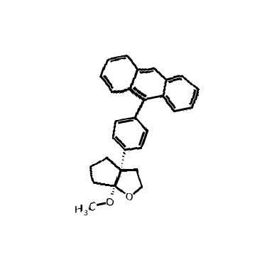 CO[C@]12CCC[C@@]1(c1ccc(-c3c4ccccc4cc4ccccc34)cc1)CCO2